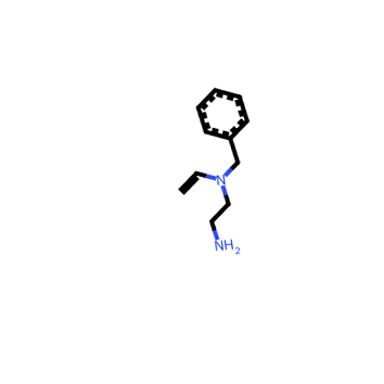 C=CN(CCN)Cc1ccccc1